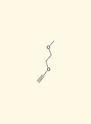 C#COCCOC